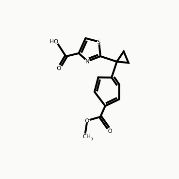 COC(=O)c1ccc(C2(c3nc(C(=O)O)cs3)CC2)cc1